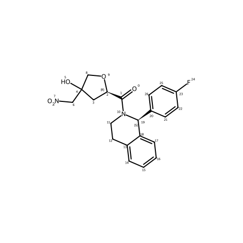 O=C([C@H]1CC(O)(C[N+](=O)[O-])CO1)N1CCc2ccccc2[C@@H]1c1ccc(F)cc1